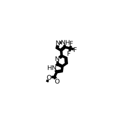 COC(=O)c1cc2ccc(-c3cn[nH]c3C(F)(F)F)nc2[nH]1